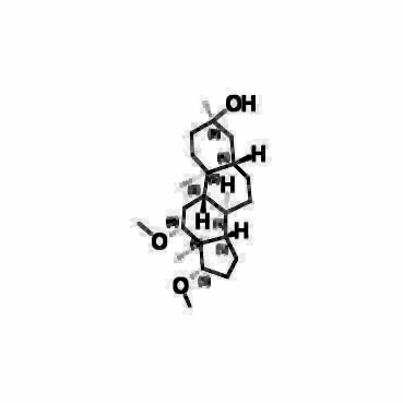 CO[C@H]1CC[C@H]2[C@@H]3CC[C@H]4C[C@](C)(O)CC[C@]4(C)[C@H]3C[C@@H](OC)[C@]12C